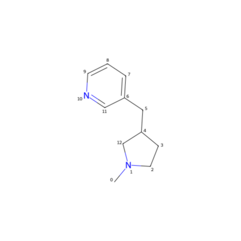 CN1CCC(Cc2cccnc2)C1